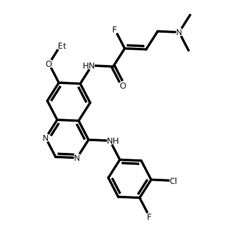 CCOc1cc2ncnc(Nc3ccc(F)c(Cl)c3)c2cc1NC(=O)C(F)=CCN(C)C